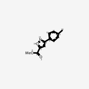 COC(=O)c1cc(-c2ccc(C)cc2)no1